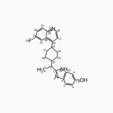 CC(c1nc2ccc(O)cc2[nH]1)C1CCC(c2ccnc3ccc(F)cc23)CC1